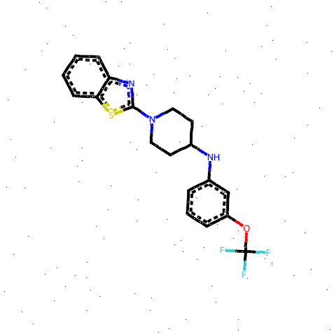 FC(F)(F)Oc1cccc(NC2CCN(c3nc4ccccc4s3)CC2)c1